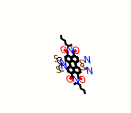 CCCCC(C)N1C(=O)c2cc(N=C=S)c3c4c(N=C=S)cc5c6c(cc(SC#N)c(c7c(SC#N)cc(c2c37)C1=O)c64)C(=O)N(C(C)CCCC)C5=O